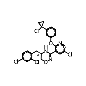 Clc1ccc(C[C@@H]2CON=C(c3cc(Cl)nnc3Oc3cccc(C4(Cl)CC4)c3)N2)c(Cl)c1